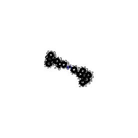 CC1(C)c2cc(/C=C/c3ccc(-c4ccc(N5c6ccccc6C=Cc6ccccc65)c5ccccc45)cc3)ccc2-c2ccc(N3c4ccccc4Sc4ccccc43)cc21